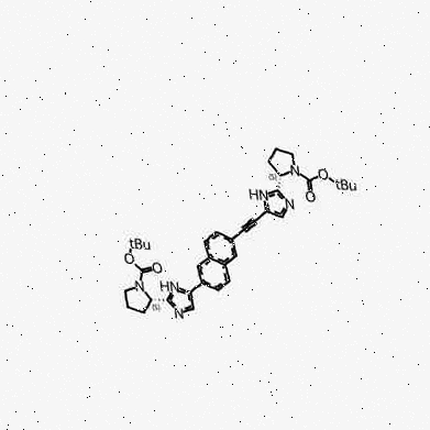 CC(C)(C)OC(=O)N1CCC[C@H]1c1ncc(C#Cc2ccc3cc(-c4cnc([C@@H]5CCCN5C(=O)OC(C)(C)C)[nH]4)ccc3c2)[nH]1